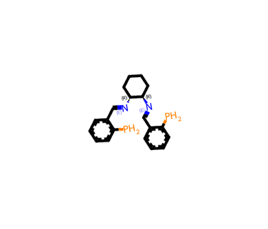 Pc1ccccc1/C=N/[C@@H]1CCCC[C@H]1/N=C/c1ccccc1P